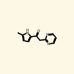 Cc1ccc(C(=O)Cc2ncccn2)[nH]1